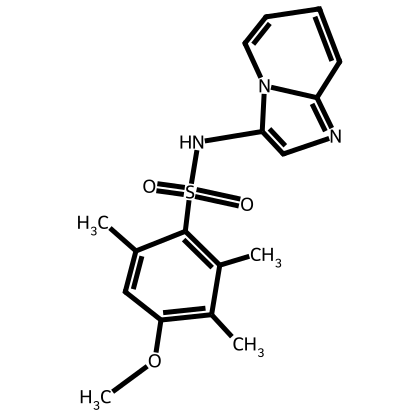 COc1cc(C)c(S(=O)(=O)Nc2cnc3ccccn23)c(C)c1C